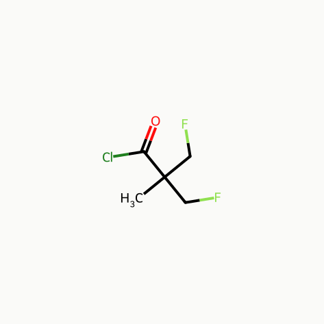 CC(CF)(CF)C(=O)Cl